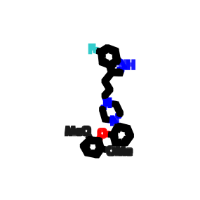 COc1cccc(OC)c1Oc1ccccc1N1CCN(CCCc2c[nH]c3ccc(F)cc23)CC1